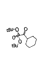 CC(C)(C)OP(=O)(OC(C)(C)C)C(=O)C1CCCCC1